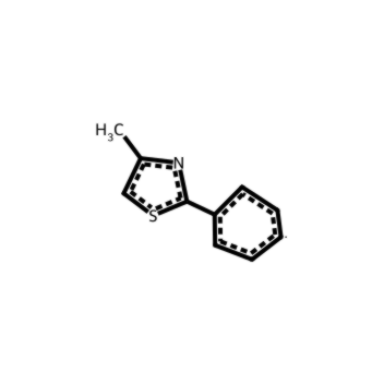 Cc1csc(-c2cc[c]cc2)n1